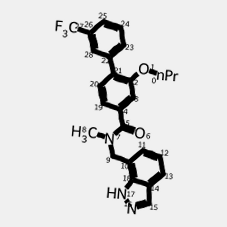 CCCOc1cc(C(=O)N(C)Cc2cccc3cn[nH]c23)ccc1-c1cccc(C(F)(F)F)c1